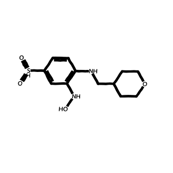 O=[SH](=O)c1ccc(NCC2CCOCC2)c(NO)c1